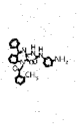 Cc1ccccc1C(=O)CN1C(=O)[C@H](NC(=O)Nc2cccc(N)c2)N=C(c2ccccc2)c2ccccc21